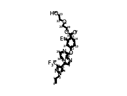 C=CCn1cc(-c2cnc3c(Oc4ccc(C(=O)OCCOCCO)c(CC)c4)nccn23)c(C(F)(F)F)n1